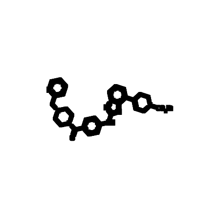 CCOC(=O)N1CC=C(c2cccn3nc(Nc4ccc(C(=O)N5CCN(Cc6ccccn6)CC5)cc4)nc23)CC1